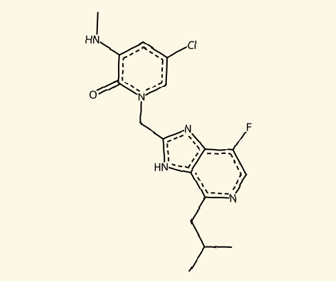 CNc1cc(Cl)cn(Cc2nc3c(F)cnc(CC(C)C)c3[nH]2)c1=O